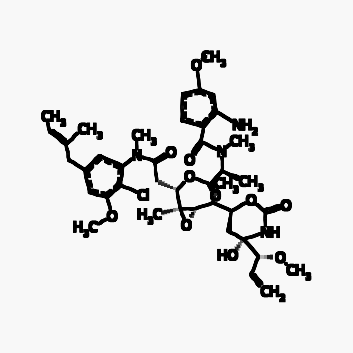 C=C[C@@H](OC)[C@@]1(O)C[C@@H]([C@@H](C)[C@@H]2O[C@@]2(C)[C@H](CC(=O)N(C)c2cc(C/C(C)=C/C)cc(OC)c2Cl)OC(=O)[C@H](C)N(C)C(=O)c2ccc(OC)cc2N)OC(=O)N1